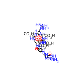 N=C(N)NCCC[C@@H](NC(=O)[C@@H](CC(=O)O)NC(=O)CCCNC(=O)c1ccc(NCc2cnc3nc(N)[nH]c(=O)c3n2)cc1)C(=O)N[C@H](CC(=O)O)C(=O)N[C@H](CC(=O)O)C(=O)N[C@H](CS)C(=O)O